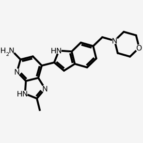 Cc1nc2c(-c3cc4ccc(CN5CCOCC5)cc4[nH]3)cc(N)nc2[nH]1